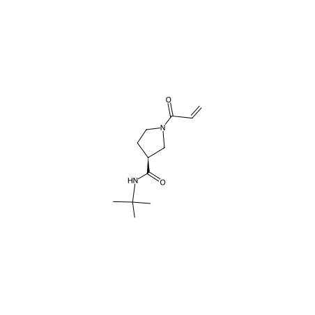 C=CC(=O)N1CC[C@H](C(=O)NC(C)(C)C)C1